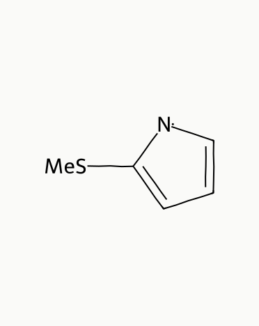 CSC1=CC=C[N]1